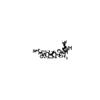 C[C@H](C(=O)Nc1cc(C2CC2)[nH]n1)c1ccc(C2=CCN(C(=O)/C=C/CBr)CC2)cc1